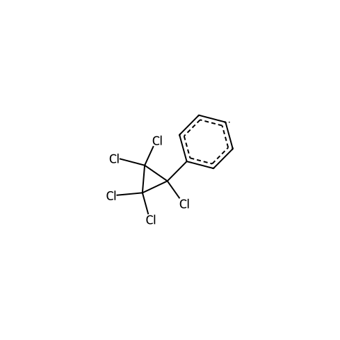 ClC1(Cl)C(Cl)(Cl)C1(Cl)c1cc[c]cc1